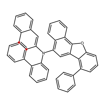 c1ccc(-c2ccccc2N(c2ccc3ccccc3c2)c2cc3c(oc4cccc(-c5ccccc5)c43)c3ccccc23)cc1